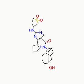 O=C(N[C@H]1C2CC3C[C@@](O)(CCCC31)C2)c1cnc(NC2CCS(=O)(=O)C2)nc1C1CCCC1